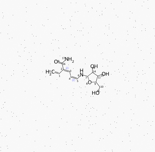 C=C/C(=C\C=C/NC1OC(CO)C(O)C1O)C(N)=O